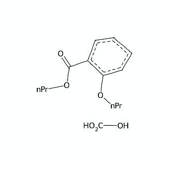 CCCOC(=O)c1ccccc1OCCC.O=C(O)O